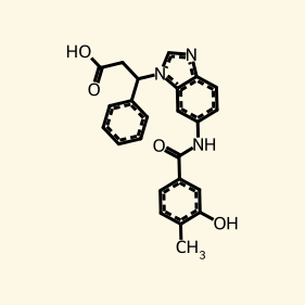 Cc1ccc(C(=O)Nc2ccc3ncn(C(CC(=O)O)c4ccccc4)c3c2)cc1O